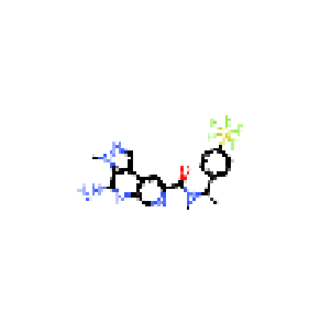 C[C@H](c1ccc(S(F)(F)(F)(F)F)cc1)N(C)C(=O)c1cc2c(cn1)nc(N)c1c2cnn1C